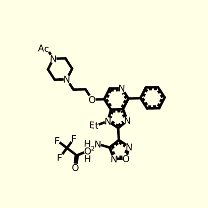 CCn1c(-c2nonc2N)nc2c(-c3ccccc3)ncc(OCCN3CCN(C(C)=O)CC3)c21.O=C(O)C(F)(F)F